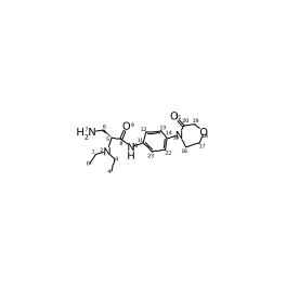 CCN(CC)[C@@H](CN)C(=O)Nc1ccc(N2CCOCC2=O)cc1